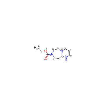 CCOC(=O)N1CCC2NC=CCN2CC1